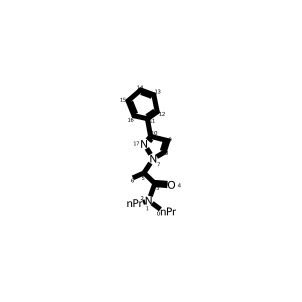 CCCN(CCC)C(=O)C(C)n1ccc(-c2ccccc2)n1